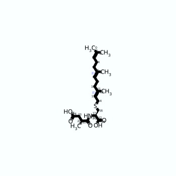 CC(C)=CCC/C(C)=C/CC/C(C)=C/CSC[C@H](NC(=O)[C@@H](C)CC(=O)O)C(=O)O